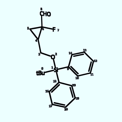 CC(C)(C)[Si](OCC1CC1(F)C=O)(c1ccccc1)c1ccccc1